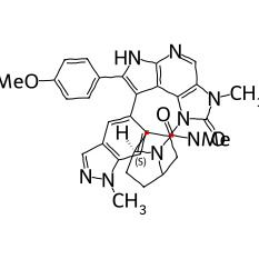 CNC(=O)N1C2CC[C@H]1CC(n1c(=O)n(C)c3cnc4[nH]c(-c5ccc(OC)cc5)c(-c5ccc6c(cnn6C)c5)c4c31)C2